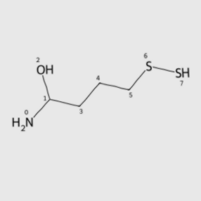 NC(O)CCCSS